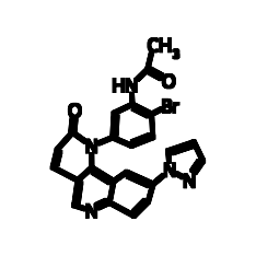 CC(=O)Nc1cc(-n2c(=O)ccc3cnc4ccc(-n5cccn5)cc4c32)ccc1Br